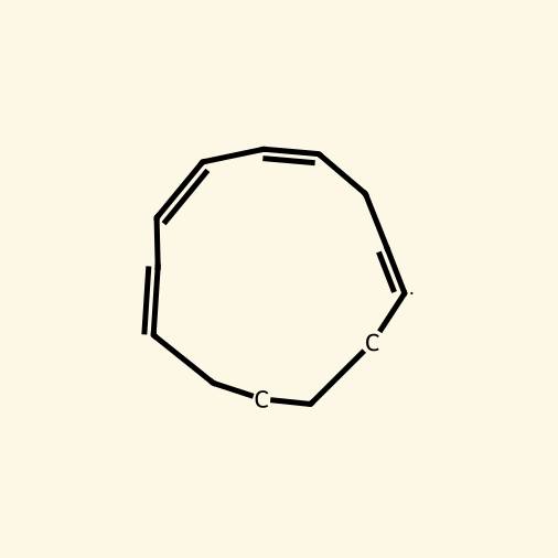 [C]1=CCC=CC=CC=CCCCC1